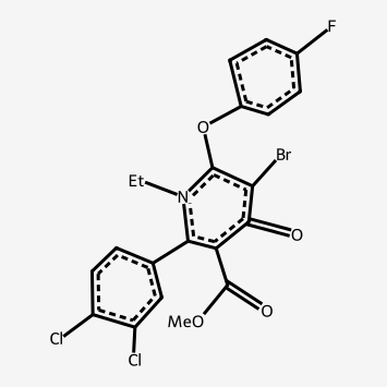 CCn1c(Oc2ccc(F)cc2)c(Br)c(=O)c(C(=O)OC)c1-c1ccc(Cl)c(Cl)c1